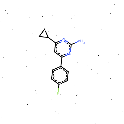 Nc1nc(-c2ccc(F)cc2)cc(C2CC2)n1